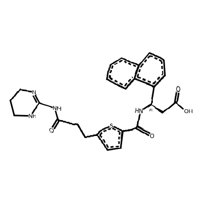 O=C(O)C[C@@H](NC(=O)c1ccc(CCC(=O)NC2=NCCCN2)s1)c1cccc2ccccc12